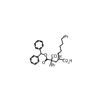 CCCC(CC(CCCCCC(C)C)C(=O)O)(C(=O)O)C(=O)OC(c1ccccc1)c1ccccc1